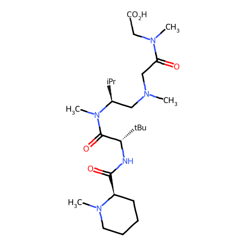 CC(C)[C@@H](CN(C)CC(=O)N(C)CC(=O)O)N(C)C(=O)[C@@H](NC(=O)[C@H]1CCCCN1C)C(C)(C)C